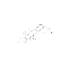 [C-]#[N+]C1CN(Cc2ccc3cc4c(c(O)c3c2)C(=O)C2=C(O)[C@]3(O)C(=O)C(C(N)=O)=C(O)[C@@H](N(C)C)[C@@H]3C[C@@H]2C4)C1